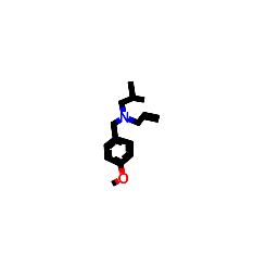 C=CCN(Cc1ccc(OC)cc1)CC(C)C